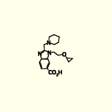 O=C(O)c1ccc2nc(CN3CCCCC3)n(CCOC3CC3)c2c1